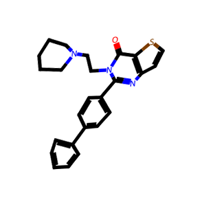 O=c1c2sccc2nc(-c2ccc(-c3ccccc3)cc2)n1CCN1CCCCC1